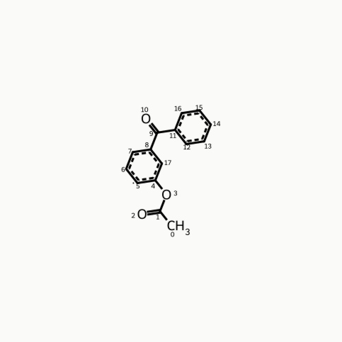 CC(=O)Oc1[c]ccc(C(=O)c2ccccc2)c1